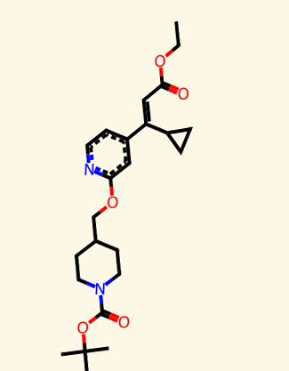 CCOC(=O)C=C(c1ccnc(OCC2CCN(C(=O)OC(C)(C)C)CC2)c1)C1CC1